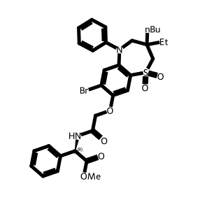 CCCCC1(CC)CN(c2ccccc2)c2cc(Br)c(OCC(=O)N[C@@H](C(=O)OC)c3ccccc3)cc2S(=O)(=O)C1